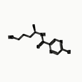 C[C@H](CCCO)NC(=O)c1cnc(Cl)cn1